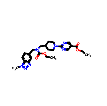 CCOC(=O)c1cnc(N2CCC(CN(Cc3ccc4c(c3)nnn4C)C(=O)OCC)CC2)nc1